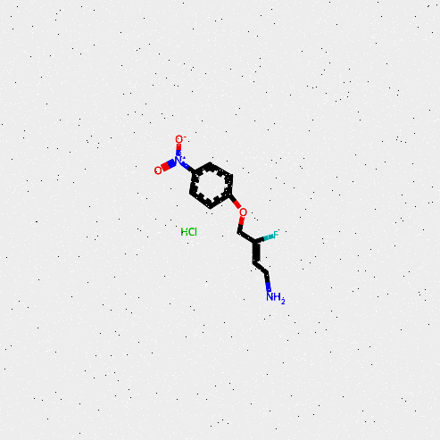 Cl.NCC=C(F)COc1ccc([N+](=O)[O-])cc1